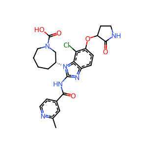 Cc1cc(C(=O)Nc2nc3ccc(OC4CCNC4=O)c(Cl)c3n2[C@@H]2CCCCN(C(=O)O)C2)ccn1